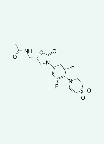 CC(=O)NC[C@H]1CN(c2cc(F)c(N3C=CS(=O)(=O)CC3)c(F)c2)C(=O)O1